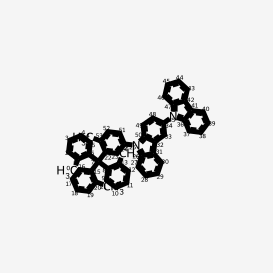 Cc1ccccc1C(c1ccccc1C)(c1ccccc1C)c1cc(-n2c3ccccc3c3cc(-n4c5ccccc5c5ccccc54)ccc32)ccc1C